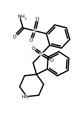 NC(=O)S(=O)(=O)c1ccccc1S(=O)(=O)[CH]C1(c2ccccc2)CCNCC1